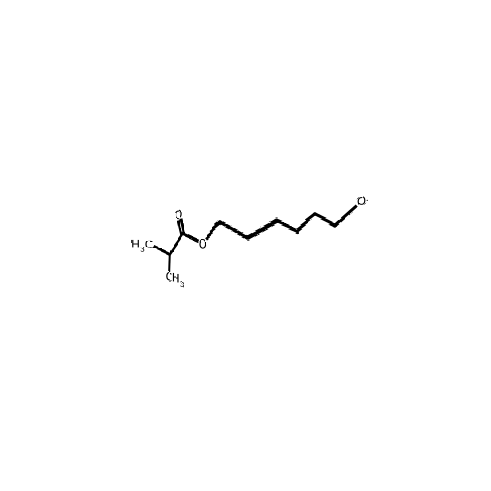 CC(C)C(=O)OCCCCCC[O]